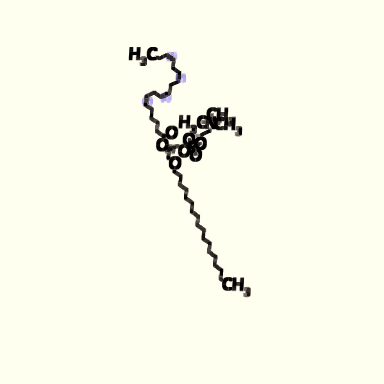 CC/C=C\C/C=C\C/C=C\C/C=C\CCCCC(=O)O[C@H](COCCCCCCCCCCCCCCCCCC)COP(=O)([O-])OCC[N+](C)(C)C